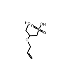 C=CCOC(CO)CS(=O)(=O)O